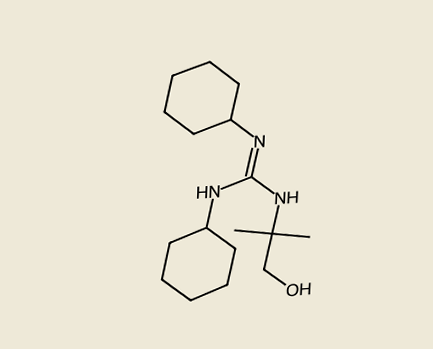 CC(C)(CO)N/C(=N/C1CCCCC1)NC1CCCCC1